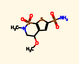 COC1CN(C)S(=O)(=O)c2sc(S(N)(=O)=O)cc21